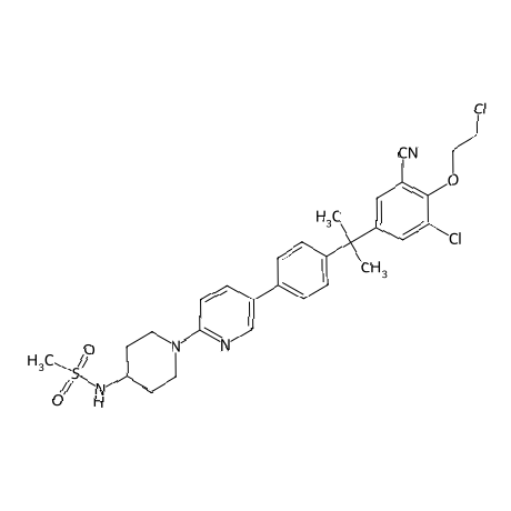 CC(C)(c1ccc(-c2ccc(N3CCC(NS(C)(=O)=O)CC3)nc2)cc1)c1cc(Cl)c(OCCCl)c(C#N)c1